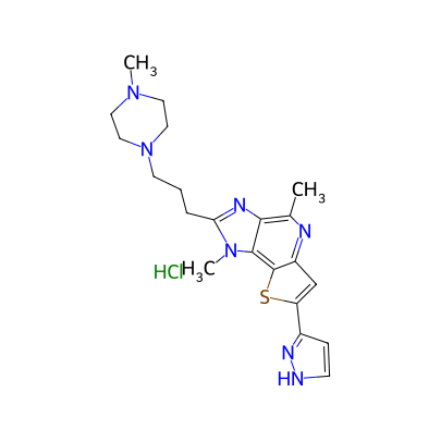 Cc1nc2cc(-c3cc[nH]n3)sc2c2c1nc(CCCN1CCN(C)CC1)n2C.Cl